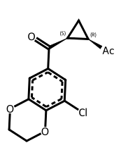 CC(=O)[C@@H]1C[C@@H]1C(=O)c1cc(Cl)c2c(c1)OCCO2